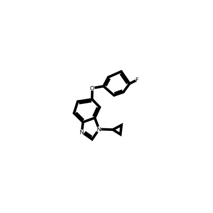 Fc1ccc(Oc2ccc3n[c]n(C4CC4)c3c2)cc1